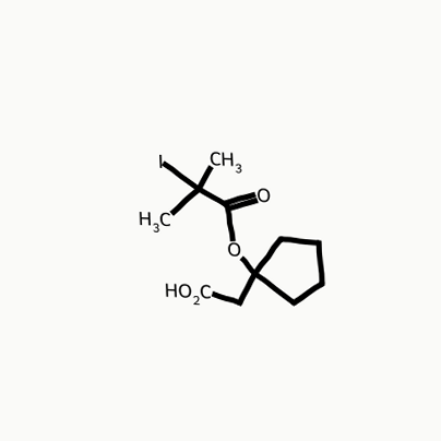 CC(C)(I)C(=O)OC1(CC(=O)O)CCCC1